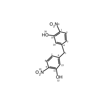 O=[N+]([O-])c1ccc(Cc2ccc([N+](=O)[O-])c(O)c2)cc1O